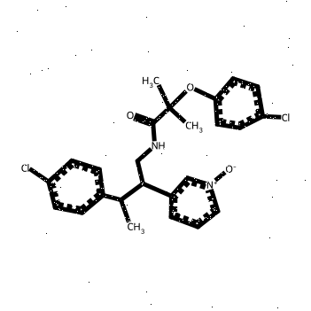 CC(c1ccc(Cl)cc1)C(CNC(=O)C(C)(C)Oc1ccc(Cl)cc1)c1ccc[n+]([O-])c1